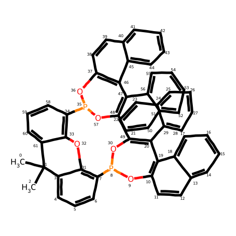 CC1(C)c2cccc(-p3oc4ccc5ccccc5c4c4c(ccc5ccccc54)o3)c2Oc2c(-p3oc4ccc5ccccc5c4c4c(ccc5ccccc54)o3)cccc21